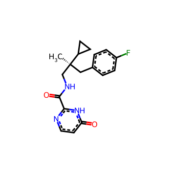 C[C@@](CNC(=O)c1nccc(=O)[nH]1)(Cc1ccc(F)cc1)C1CC1